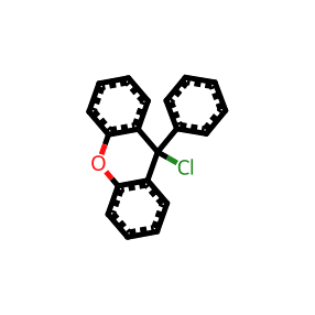 ClC1(c2ccccc2)c2ccccc2Oc2ccccc21